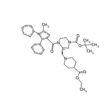 CCOC(=O)C1CCN(C[C@@H]2CN(C(=O)OC(C)(C)C)CCN2C(=O)c2cc(C)n(-c3ccccc3)c2-c2ccccc2)CC1